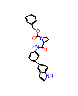 O=C(Nc1cccc(-c2ccc3[nH]ccc3c2)c1)C1CCN1C(=O)OCc1ccccc1